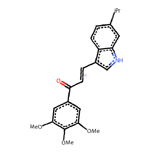 COc1cc(C(=O)/C=C/c2c[nH]c3cc(C(C)C)ccc23)cc(OC)c1OC